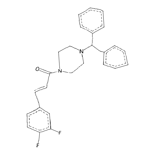 O=C(C=Cc1ccc(F)c(F)c1)N1CCN(C(c2ccccc2)c2ccccc2)CC1